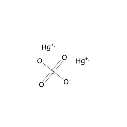 O=S(=O)([O-])[O-].[Hg+].[Hg+]